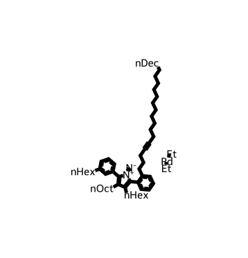 CCCCCCCCCCCCCCCCCCCCCC#CCCCc1ccccc1C1=C(CCCCCC)C(CCCCCCCC)=C(c2cccc(CCCCCC)c2)[N+]1=[N-].C[CH2][Pd][CH2]C